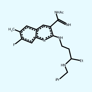 CCC(CCNc1nc2cc(F)c(C)cc2cc1C(=N)NC(C)=O)NCC(C)C